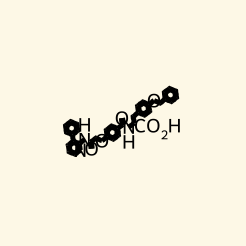 O=C(COc1ccc(C(=O)NC(Cc2ccc(OCc3ccccc3)cc2)C(=O)O)cc1)Nc1ncccc1-c1ccccc1